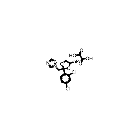 CCCC1COC(Cn2cncn2)(c2ccc(Cl)cc2Cl)O1.O=C(O)C(=O)O